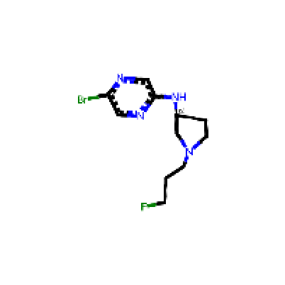 FCCCN1CC[C@H](Nc2cnc(Br)cn2)C1